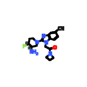 N#Cc1ccc2c(c1)nc(N1CC[C@H](F)[C@H](N)C1)n2CC(=O)N1CCC1